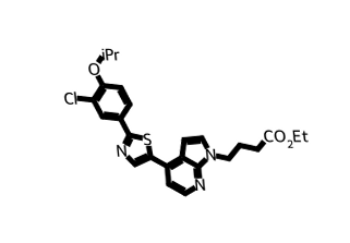 CCOC(=O)CCCn1ccc2c(-c3cnc(-c4ccc(OC(C)C)c(Cl)c4)s3)ccnc21